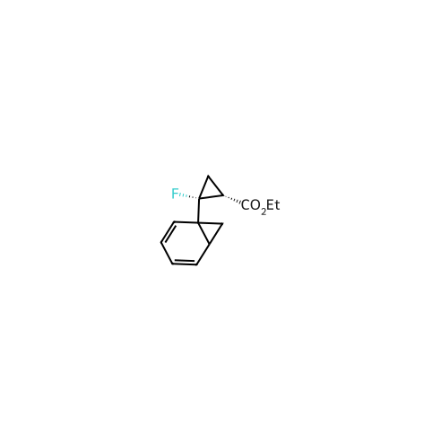 CCOC(=O)[C@H]1C[C@]1(F)C12C=CC=CC1C2